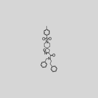 Cc1ccc(S(=O)(=O)N2CCC3(CC2)CC(C(=O)N(CCc2ccccc2)Cc2ccccc2)=NO3)cc1